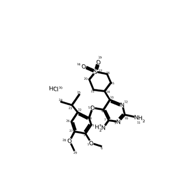 COc1cc(Oc2c(N)nc(N)nc2C2CCS(=O)(=O)CC2)c(C(C)C)cc1OC.Cl